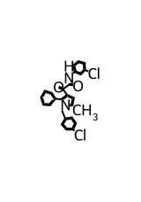 Cc1cc(C(=O)C(=O)Nc2cccc(Cl)c2)c(-c2ccccc2)n1Cc1ccc(Cl)cc1